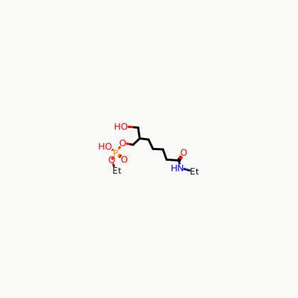 CCNC(=O)CCCCC(CO)COP(=O)(O)OCC